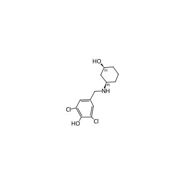 Oc1c(Cl)cc(CN[C@@H]2CCC[C@H](O)C2)cc1Cl